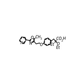 CCO[C@@](CC)(Cc1ccc(OCCc2nc(-c3cccnc3)oc2C)cc1)C(=O)O